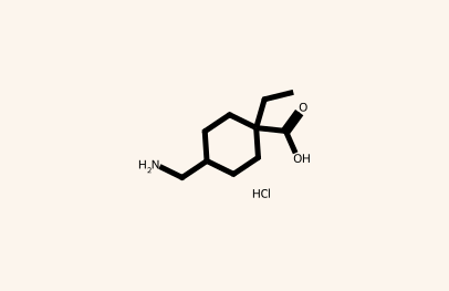 CCC1(C(=O)O)CCC(CN)CC1.Cl